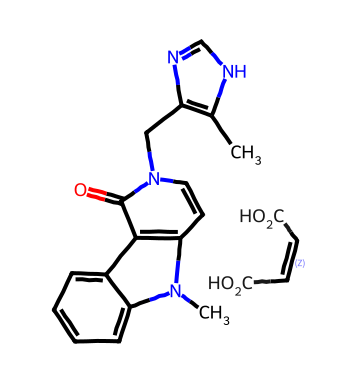 Cc1[nH]cnc1Cn1ccc2c(c1=O)c1ccccc1n2C.O=C(O)/C=C\C(=O)O